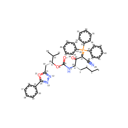 CCCC[C@H](NC(=O)O[C@H](Cc1nnc(-c2ccccc2)o1)C(C)C)C(=O)C(C#N)=P(c1ccccc1)(c1ccccc1)c1ccccc1